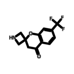 O=C1CC2(CNC2)Oc2cc(C(F)(F)F)ccc21